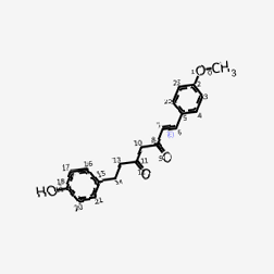 COc1ccc(/C=C/C(=O)CC(=O)CCc2ccc(O)cc2)cc1